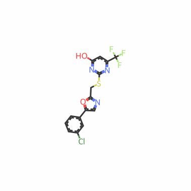 Oc1cc(C(F)(F)F)nc(SCc2ncc(-c3cccc(Cl)c3)o2)n1